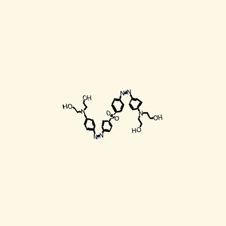 O=S(=O)(c1ccc(/N=N\c2ccc(N(CCO)CCO)cc2)cc1)c1ccc(/N=N\c2ccc(N(CCO)CCO)cc2)cc1